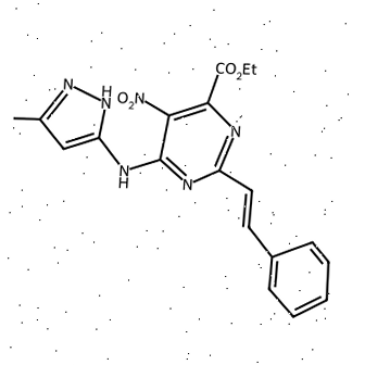 CCOC(=O)c1nc(C=Cc2ccccc2)nc(Nc2cc(C)n[nH]2)c1[N+](=O)[O-]